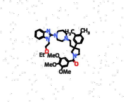 CCOCCn1c(N2CCCN(CCC3(c4ccc(C)c(C)c4)CCN(C(=O)c4cc(OC)c(OC)c(OC)c4)C3)CC2)nc2ccccc21